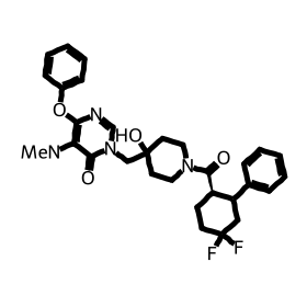 CNc1c(Oc2ccccc2)ncn(CC2(O)CCN(C(=O)[C@@H]3CCC(F)(F)CC3c3ccccc3)CC2)c1=O